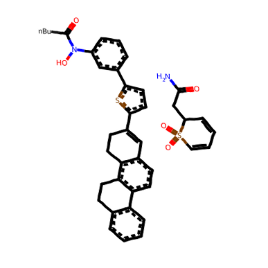 CCCCC(=O)N(O)c1cccc(-c2ccc(C3=Cc4ccc5c(c4CC3)CCc3ccccc3-5)s2)c1.NC(=O)CC1C=CC=CS1(=O)=O